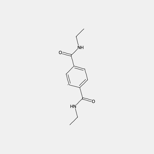 CCNC(=O)c1[c]cc(C(=O)NCC)cc1